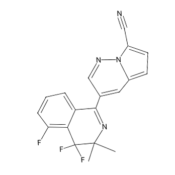 CC1(C)N=C(c2cnn3c(C#N)ccc3c2)c2cccc(F)c2C1(F)F